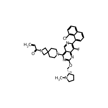 C=CC(=O)N1CC2(CCN(c3nc(OC[C@@H]4CCCN4C)nc4c(F)c(-c5cccc6cccc(Cl)c56)ncc34)CC2)C1